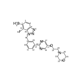 Bc1ccc2nnn(Cc3cccc(-c4ncc(OCCN5CCOCC5)cn4)c3)c2c1F